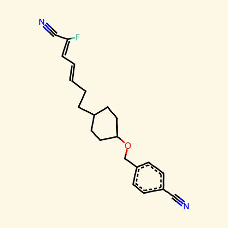 N#CC(F)=CC=CCCC1CCC(OCc2ccc(C#N)cc2)CC1